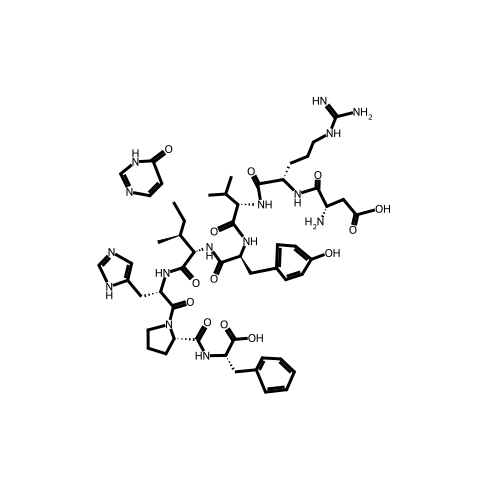 CC[C@H](C)[C@H](NC(=O)[C@H](Cc1ccc(O)cc1)NC(=O)[C@@H](NC(=O)[C@H](CCCNC(=N)N)NC(=O)[C@@H](N)CC(=O)O)C(C)C)C(=O)N[C@@H](Cc1cnc[nH]1)C(=O)N1CCC[C@H]1C(=O)N[C@@H](Cc1ccccc1)C(=O)O.O=c1ccnc[nH]1